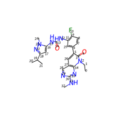 CCn1c(=O)c(-c2ccc(F)c(NC(=O)Nc3cc(C(C)C)nn3C)c2)cc2cnc(NC)nc21